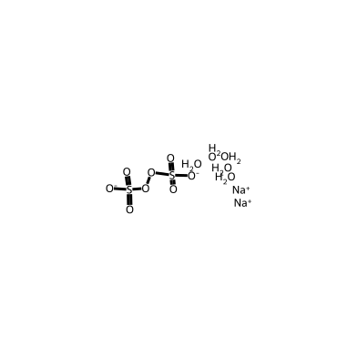 O.O.O.O.O.O=S(=O)([O-])OOS(=O)(=O)[O-].[Na+].[Na+]